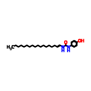 CCCCCCCCCCCCCCCCC=CNC(=O)Nc1ccc(O)cc1